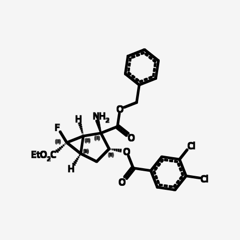 CCOC(=O)[C@@]1(F)[C@@H]2C[C@@H](OC(=O)c3ccc(Cl)c(Cl)c3)[C@@](N)(C(=O)OCc3ccccc3)[C@@H]21